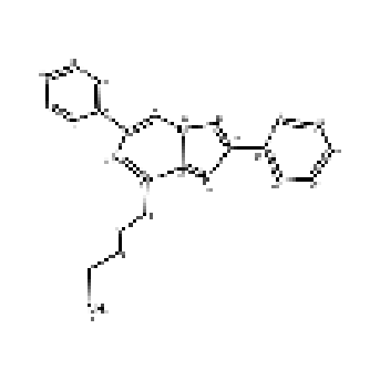 NCCCCc1nc(-c2ccccc2)cn2cc(-c3ccccc3)nc12